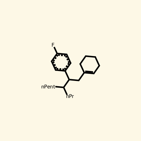 CCCCCC(CCC)C(CC1=CCCCC1)c1ccc(F)cc1